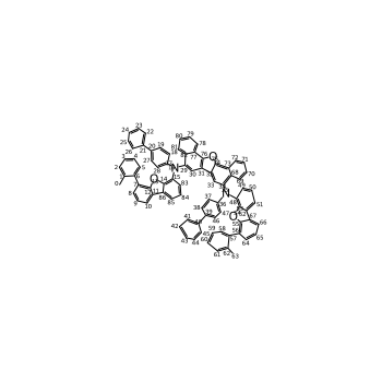 Cc1ccccc1-c1cccc2c1oc1c(N(c3ccc(-c4ccccc4)cc3)c3cc4c5cc(N(c6ccc(-c7ccccc7)cc6)c6cccc7c6oc6c(-c8ccccc8C)cccc67)c6ccccc6c5oc4c4ccccc34)cccc12